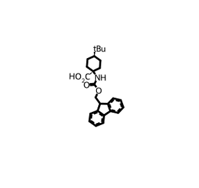 CC(C)(C)[C@H]1CC[C@](NC(=O)OCC2c3ccccc3-c3ccccc32)(C(=O)O)CC1